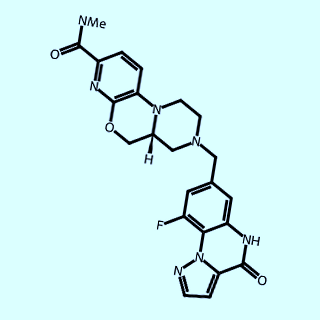 CNC(=O)c1ccc2c(n1)OC[C@H]1CN(Cc3cc(F)c4c(c3)[nH]c(=O)c3ccnn34)CCN21